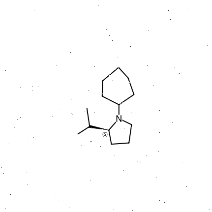 CC(C)[C@@H]1CCCN1C1CCCCC1